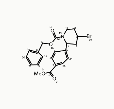 COC(=O)c1ccc(C2CC(Br)CCN2C(=O)OCc2ccccc2)cc1